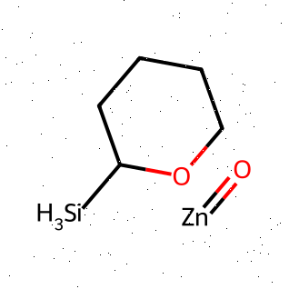 [O]=[Zn].[SiH3]C1CCCCO1